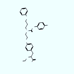 CCOC(Cc1ccc(OCCN(CCCSc2ccccc2)C(=O)Oc2ccc(Cl)cc2)cc1)C(=O)O